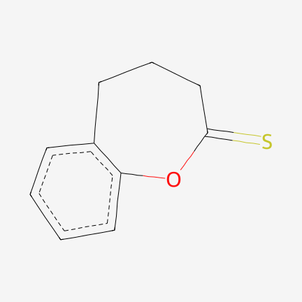 S=C1CCCc2ccccc2O1